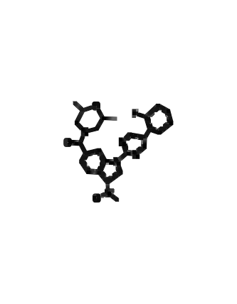 CC1CN(C(=O)c2ccc3c([S+](C)[O-])cn(-c4ncc(-c5ccccc5F)cn4)c3c2)CC(C)O1